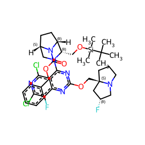 CC(C)(C)[Si](C)(C)OC[C@H]1[C@H]2CC[C@@H](CN1c1nc(OC[C@@]34CCCN3C[C@H](F)C4)nc3c(F)c(Cl)nc(Cl)c13)N2C(=O)OCc1ccccc1